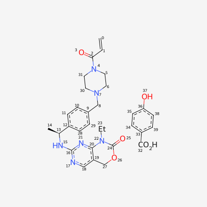 C=CC(=O)N1CCN(Cc2ccc([C@H](C)Nc3ncc4c(n3)N(CC)C(=O)OC4)cc2)CC1.O=C(O)c1ccc(O)cc1